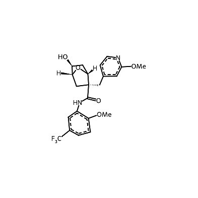 COc1cc(C[C@]2(C(=O)Nc3cc(C(F)(F)F)ccc3OC)C[C@H]3O[C@@H]2C[C@@H]3O)ccn1